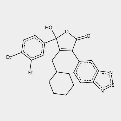 CCc1ccc(C2(O)OC(=O)C(c3ccc4nsnc4c3)=C2CC2CCCCC2)cc1CC